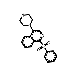 O=S(=O)(c1ccccc1)c1ncc(N2CCNCC2)c2ccccc12